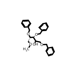 COC[C@H](OCc1ccccc1)[C@H](OCc1ccccc1)C(O)COCc1ccccc1